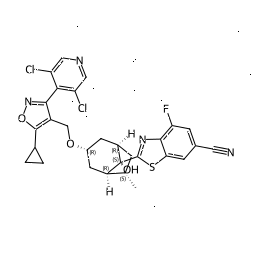 C[C@H]1C[C@@H]2C[C@@H](OCc3c(-c4c(Cl)cncc4Cl)noc3C3CC3)C[C@H]1[C@]2(O)c1nc2c(F)cc(C#N)cc2s1